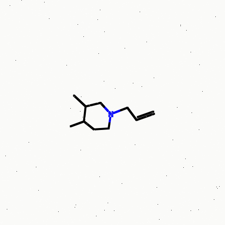 C=CCN1CCC(C)C(C)C1